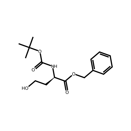 CC(C)(C)OC(=O)N[C@H](CCO)C(=O)OCc1ccccc1